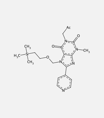 CC(=O)Cn1c(=O)c2c(nc(-c3ccncc3)n2COCC[Si](C)(C)C)n(C)c1=O